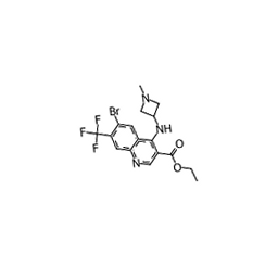 CCOC(=O)c1cnc2cc(C(F)(F)F)c(Br)cc2c1NC1CN(C)C1